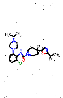 CC(C)c1ncc(C2(C)CCN(C(=O)Nc3c(Cl)cccc3N3CCN(C(C)C)CC3)CC2)o1